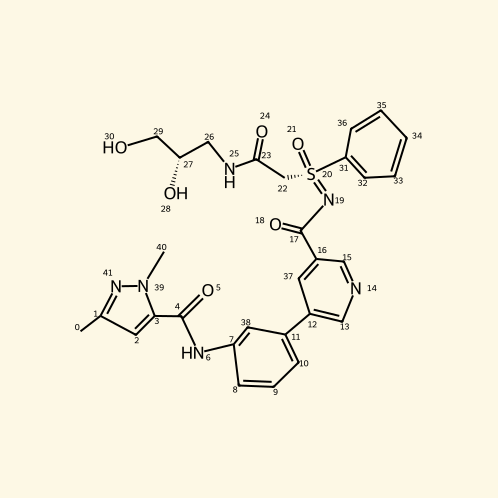 Cc1cc(C(=O)Nc2cccc(-c3cncc(C(=O)N=[S@](=O)(CC(=O)NC[C@H](O)CO)c4ccccc4)c3)c2)n(C)n1